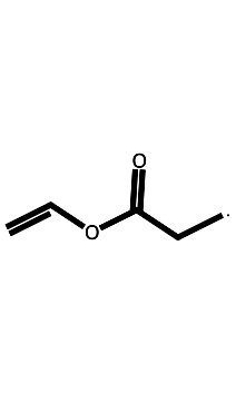 [CH2]CC(=O)OC=C